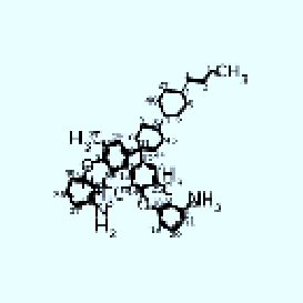 CCCC[C@H]1CC[C@@H](C2CCC(c3cc(C)c(Oc4cccc(N)c4)c(C)c3)(c3cc(C)c(Oc4cccc(N)c4)c(C)c3)CC2)CC1